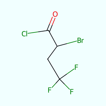 O=C(Cl)C(Br)CC(F)(F)F